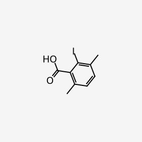 Cc1ccc(C)c(C(=O)O)c1I